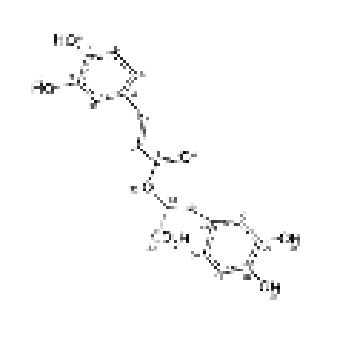 O=C(C=Cc1ccc(O)c(O)c1)O[C@H](Cc1ccc(O)c(O)c1)C(=O)O